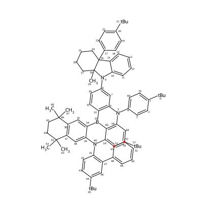 CC(C)(C)c1ccc(N2c3cc(N4c5ccccc5C5(c6ccc(C(C)(C)C)cc6)CCCCC45C)ccc3B3c4cc5c(cc4N(c4ccc(C(C)(C)C)cc4-c4ccccc4)c4cc(C(C)(C)C)cc2c43)C(C)(C)CCC5(C)C)cc1